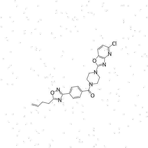 C=CCCc1nc(-c2ccc(C(=O)N3CCN(c4nc5nc(Cl)ccc5o4)CC3)cc2)no1